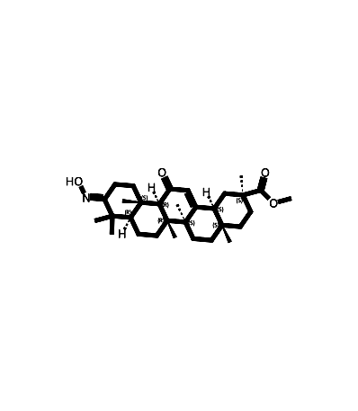 COC(=O)[C@@]1(C)CC[C@]2(C)CC[C@]3(C)C(=CC(=O)[C@@H]4[C@@]5(C)CCC(=NO)C(C)(C)[C@@H]5CC[C@]43C)[C@H]2C1